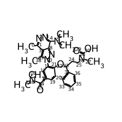 Cc1nnc(N(C)C)c2nn(-c3cc(C(=O)N(C)C)ccc3OC(CCN(C)C(=O)O)c3ccccc3)c(C)c12